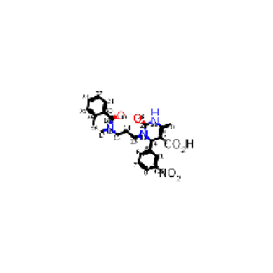 CC1=C(C(=O)O)C(c2cccc([N+](=O)[O-])c2)N(CCCN(C)C(=O)c2ccccc2C)C(=O)N1